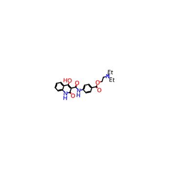 CCN(CC)CCOC(=O)c1ccc(NC(=O)c2c(O)c3ccccc3[nH]c2=O)cc1